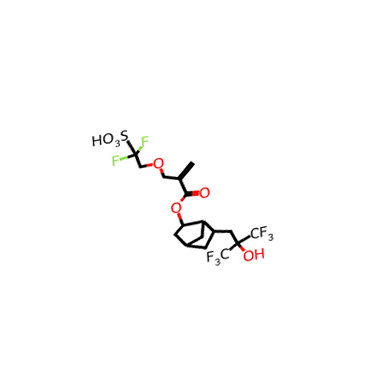 C=C(COCC(F)(F)S(=O)(=O)O)C(=O)OC1CC2CC(CC(O)(C(F)(F)F)C(F)(F)F)C1C2